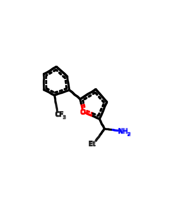 CCC(N)c1ccc(-c2ccccc2C(F)(F)F)o1